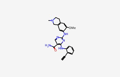 C#Cc1ccccc1Nc1nc(Nc2cc3c(cc2OC)CCN(C)C3)ncc1C(N)=O